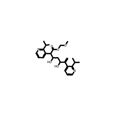 C=C(c1cccnc1C(C)C)C(O)CC(O)C(C(=O)OCOC)c1cccnc1C(C)C